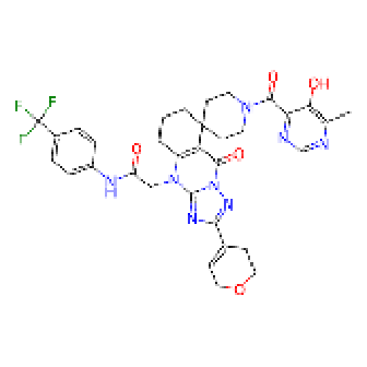 Cc1ncnc(C(=O)N2CCC3(CCCc4c3c(=O)n3nc(C5=CCOCC5)nc3n4CC(=O)Nc3ccc(C(F)(F)F)cc3)CC2)c1O